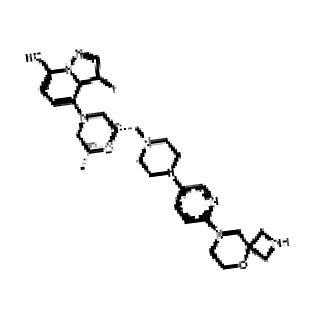 C[C@@H]1CN(C2=CC=C(C#N)N3N=CC(F)C23)C[C@H](CN2CCN(c3ccc(N4CCOC5(CNC5)C4)nc3)CC2)O1